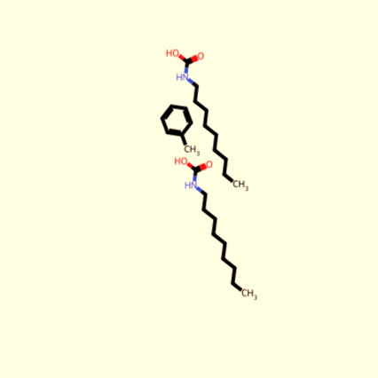 CCCCCCCCCNC(=O)O.CCCCCCCCCNC(=O)O.Cc1ccccc1